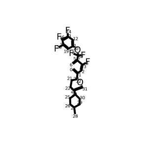 C=C(/C=C(/F)C(=C)C(F)(F)Oc1cc(F)c(F)c(F)c1)C1CCC(C2CCC(C)CC2)=CO1